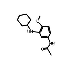 COc1ccc(NC(C)=O)cc1NC1CCCCC1